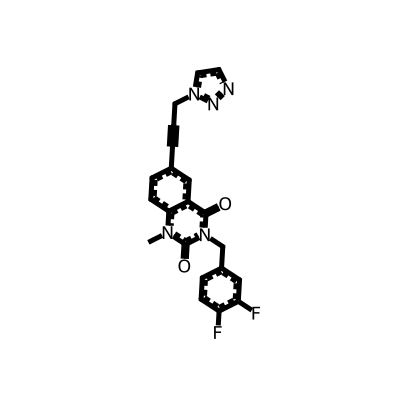 Cn1c(=O)n(Cc2ccc(F)c(F)c2)c(=O)c2cc(C#CCn3ccnn3)ccc21